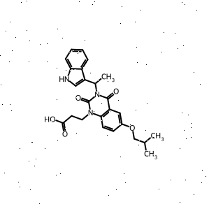 CC(C)COc1ccc2c(c1)c(=O)n(C(C)c1c[nH]c3ccccc13)c(=O)n2CCC(=O)O